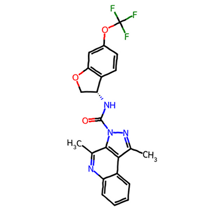 Cc1nn(C(=O)N[C@@H]2COc3cc(OC(F)(F)F)ccc32)c2c(C)nc3ccccc3c12